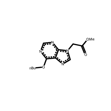 CCCCOc1ncnc2c1ncn2CC(=O)OC